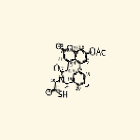 CC(=O)Oc1ccc2c(CC(=O)N(CC(=O)S)Cc3ccccc3)cc(=O)oc2c1